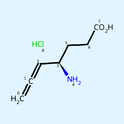 C=C=C[C@H](N)CCC(=O)O.Cl